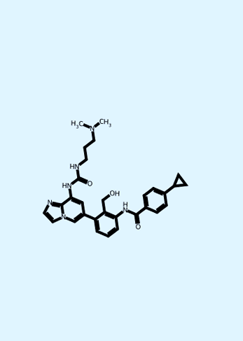 CN(C)CCCNC(=O)Nc1cc(-c2cccc(NC(=O)c3ccc(C4CC4)cc3)c2CO)cn2ccnc12